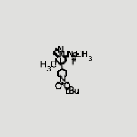 CN1c2ccnn2C(N=S(C)F)=CC1C1CCN(C(=O)OC(C)(C)C)CC1